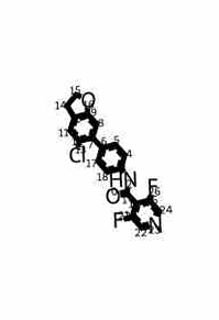 O=C(Nc1ccc(-c2cc3c(cc2Cl)CCO3)cc1)c1c(F)cncc1F